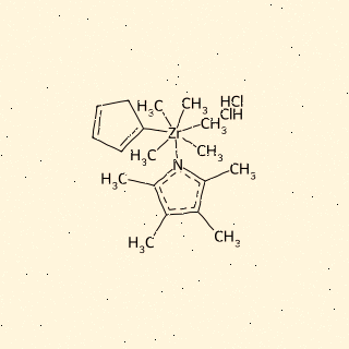 Cc1c(C)c(C)[n]([Zr]([CH3])([CH3])([CH3])([CH3])([CH3])[C]2=CC=CC2)c1C.Cl.Cl